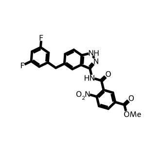 COC(=O)c1ccc([N+](=O)[O-])c(C(=O)Nc2n[nH]c3ccc(Cc4cc(F)cc(F)c4)cc23)c1